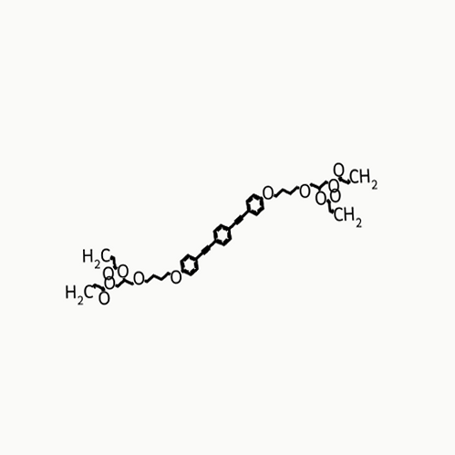 C=CC(=O)OCC(COCCCCOc1ccc(C#Cc2ccc(C#Cc3ccc(OCCCCOCC(COC(=O)C=C)OC(=O)C=C)cc3)cc2)cc1)OC(=O)C=C